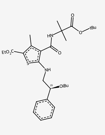 CCOC(=O)c1sc(NC[C@@H](OCC(C)C)c2ccccc2)c(C(=O)NC(C)(C)C(=O)OC(C)(C)C)c1C